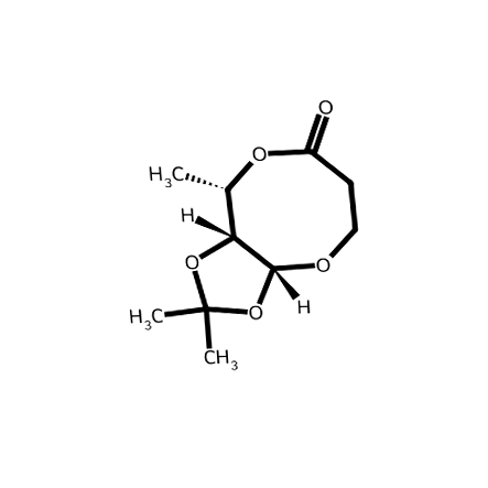 C[C@@H]1OC(=O)CCO[C@@H]2OC(C)(C)O[C@@H]21